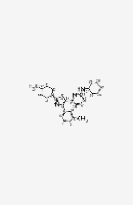 Cc1cccc(-c2nc(N3CCC(C)CC3)sc2-c2ccnc(NC3CCCCC3)n2)c1